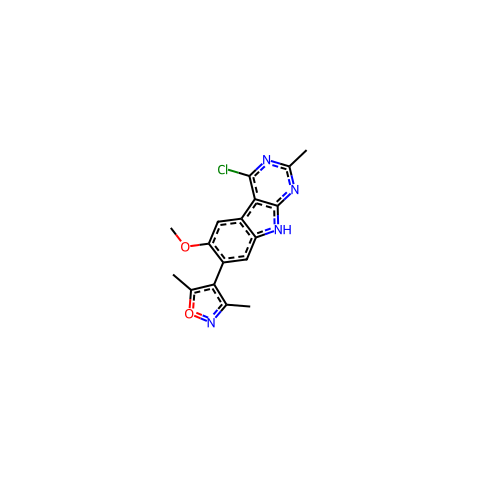 COc1cc2c(cc1-c1c(C)noc1C)[nH]c1nc(C)nc(Cl)c12